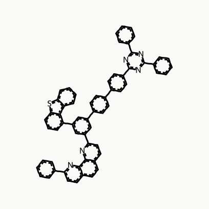 c1ccc(-c2ccc3ccc4ccc(-c5cc(-c6ccc(-c7ccc(-c8nc(-c9ccccc9)nc(-c9ccccc9)n8)cc7)cc6)cc(-c6cccc7sc8ccccc8c67)c5)nc4c3n2)cc1